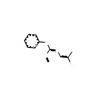 C=N/C(=N\C=C(/C)N)Oc1ccccc1